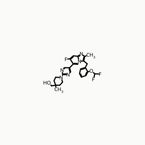 Cc1nc2cc(F)c(-c3cnc(N4CCC(C)(CO)CC4)nc3)cn2c1Cc1ccccc1OC(F)F